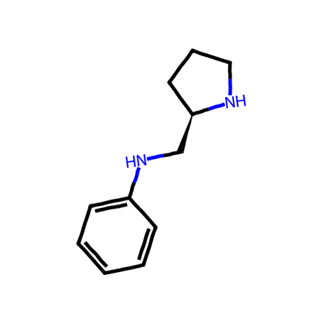 c1ccc(NC[C@H]2CCCN2)cc1